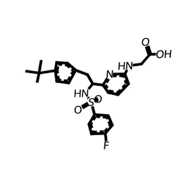 CC(C)(C)c1ccc(CC(NS(=O)(=O)c2ccc(F)cc2)c2cccc(NCC(=O)O)n2)cc1